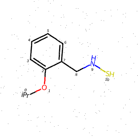 CC(C)Oc1ccccc1CNS